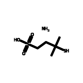 CC(C)(S)CCS(=O)(=O)O.N